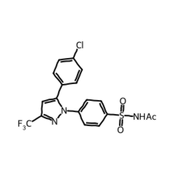 CC(=O)NS(=O)(=O)c1ccc(-n2nc(C(F)(F)F)cc2-c2ccc(Cl)cc2)cc1